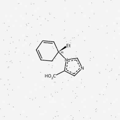 CC[C@]1(n2cncc2C(=O)O)C=CC=CC1